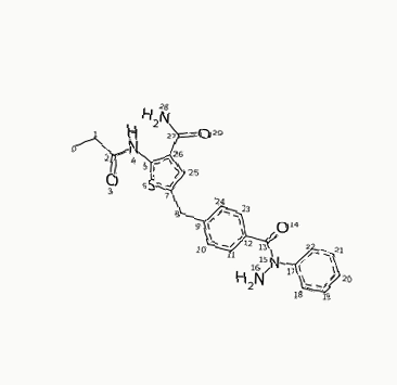 CCC(=O)Nc1sc(Cc2ccc(C(=O)N(N)c3ccccc3)cc2)cc1C(N)=O